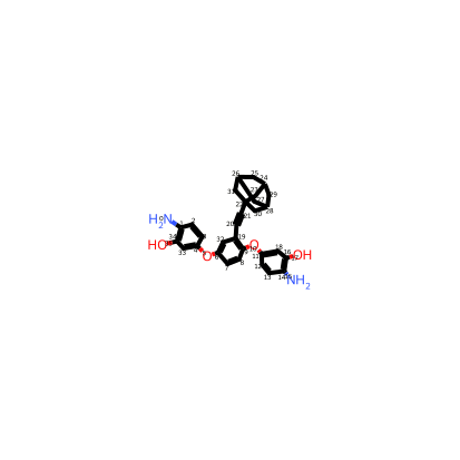 Nc1ccc(Oc2ccc(Oc3ccc(N)c(O)c3)c(C#CC34CC5CC(CC(C5)C3)C4)c2)cc1O